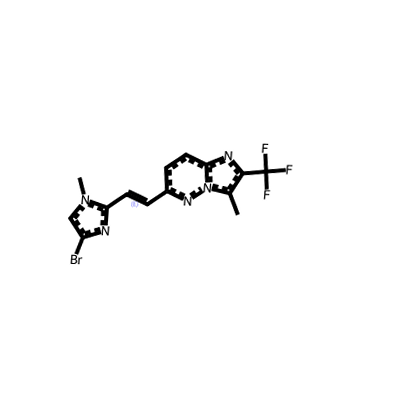 Cc1c(C(F)(F)F)nc2ccc(/C=C/c3nc(Br)cn3C)nn12